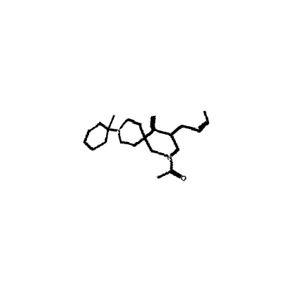 C=C1C(C/C=C\C)CN(C(C)=O)CC12CCN(C1(C)CCCCC1)CC2